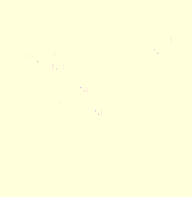 C[C@H](CS)NC(=O)[C@H](CC(=O)O)NC(=O)C(Cc1ccccc1)NC(=O)Cc1ccc(CNC=O)cc1